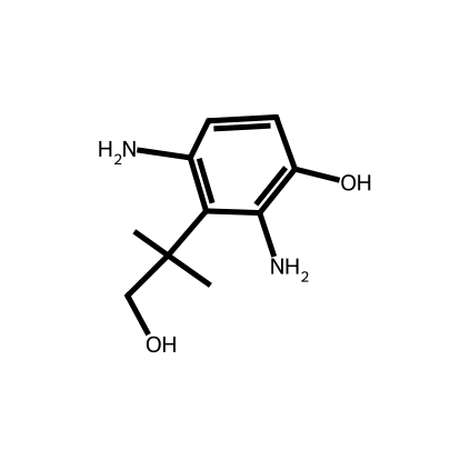 CC(C)(CO)c1c(N)ccc(O)c1N